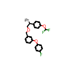 CC(C)C(COCc1cccc(Oc2ccc(F)cc2)c1)c1ccc(OC(F)F)cc1